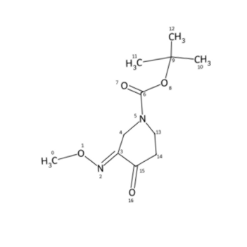 CO/N=C1\CN(C(=O)OC(C)(C)C)CCC1=O